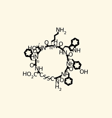 C[C@@H](O)[C@@H]1NC(=O)[C@H](CCCCN)NC(=O)[C@@H](Cc2c[nH]c3ccccc23)NC(=O)[C@H](Cc2ccc(O)cc2)NC(=O)[C@H](Cc2ccccc2)NC(=O)[C@@H](N)CSSC[C@@H](C(=O)O)NC(=O)[C@H](Cc2ccccc2)NC1=O